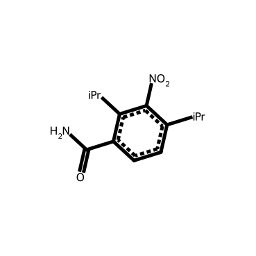 CC(C)c1ccc(C(N)=O)c(C(C)C)c1[N+](=O)[O-]